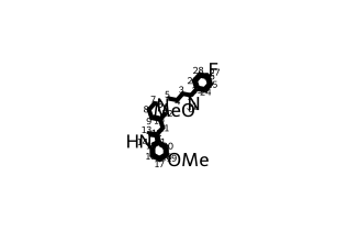 CON=C(CCCN1CCC=C(Cc2c[nH]c3ccc(OC)cc23)C1)c1ccc(F)cc1